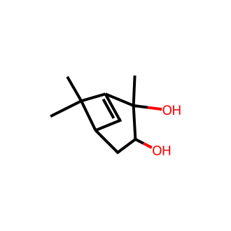 CC1(C)C2=CC1CC(O)C2(C)O